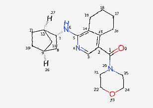 O=C(c1cnc(N[C@@H]2C[C@H]3CC[C@@H]2C3)c2c1CCCC2)N1CCOCC1